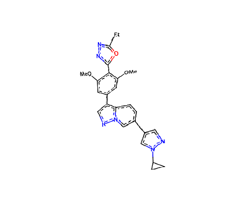 CCc1nnc(-c2c(OC)cc(-c3cnn4cc(-c5cnn(C6CC6)c5)ccc34)cc2OC)o1